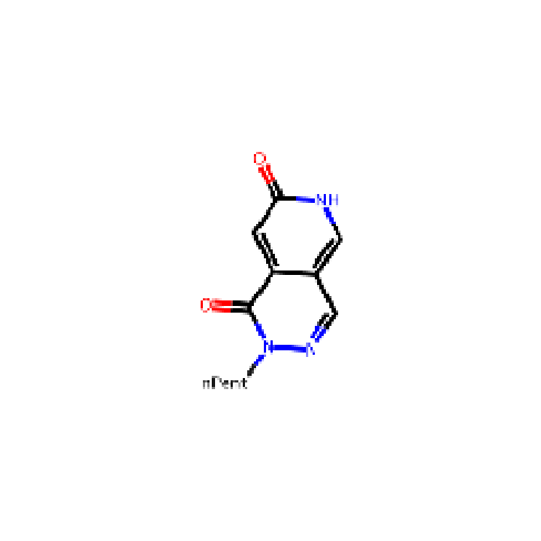 CCCCCn1ncc2c[nH]c(=O)cc2c1=O